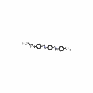 OCCCNc1ccc(/N=N/c2ccc(/N=N/c3ccc(C(F)(F)F)cc3)cc2)cc1